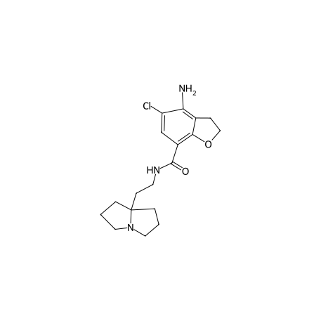 Nc1c(Cl)cc(C(=O)NCCC23CCCN2CCC3)c2c1CCO2